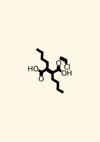 C=CCl.CCCC/C(C(=O)O)=C(/CCCC)C(=O)O